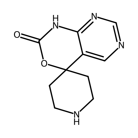 O=C1Nc2ncncc2C2(CCNCC2)O1